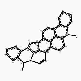 Cc1c2ccccc2c2ccc3c4c(ccc1c24)c1c2c4c(nn23)-c2ccccc2C(C)C4C=C1